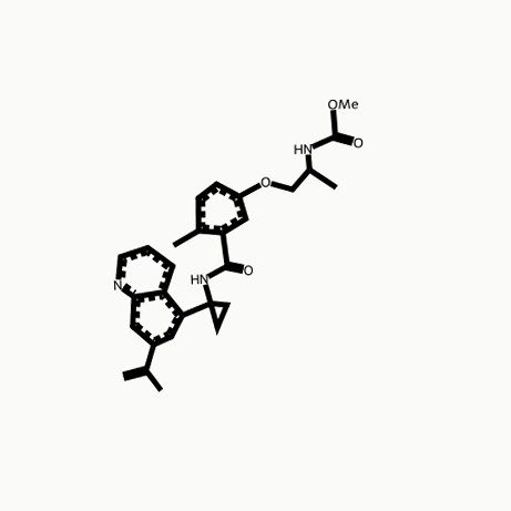 C=C(C)c1cc(C2(NC(=O)c3cc(OCC(C)NC(=O)OC)ccc3C)CC2)c2cccnc2c1